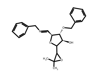 CC1(C)OC1C1O[C@@H](/C=N/Cc2ccccc2)[C@H](OCc2ccccc2)[C@H]1O